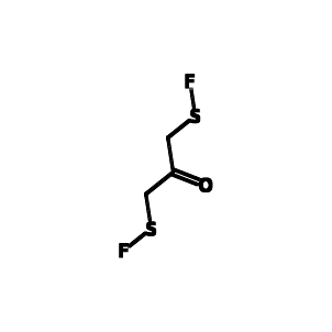 O=C(CSF)CSF